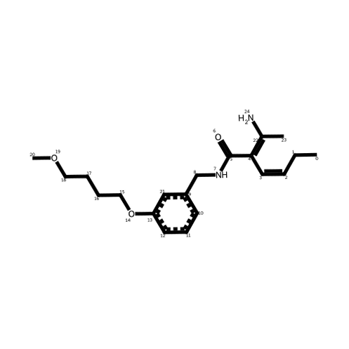 CC/C=C\C(C(=O)NCc1cccc(OCCCCOC)c1)=C(/C)N